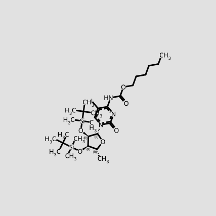 CCCCCCOC(=O)Nc1nc(=O)n([C@@H]2O[C@H](C)[C@@H](O[Si](C)(C)C(C)(C)C)[C@H]2O[Si](C)(C)C(C)(C)C)cc1I